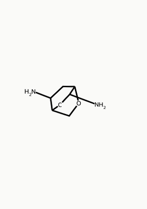 NC1CC2OCC1CC2N